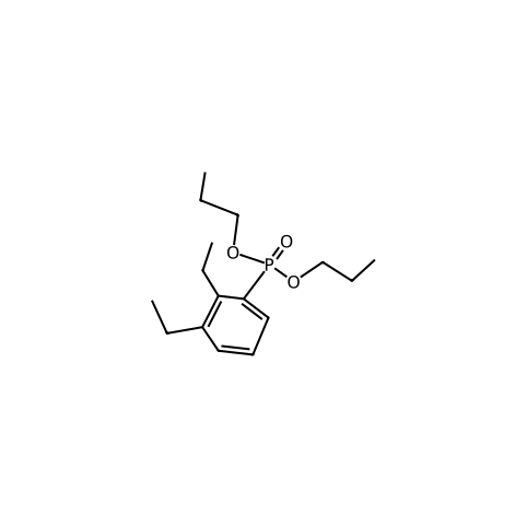 CCCOP(=O)(OCCC)c1cccc(CC)c1CC